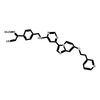 CN/N=C(\C=N)c1ccc(CNc2cc(-c3cnc4cc(OCCc5cccnc5)ccn34)ncn2)cc1